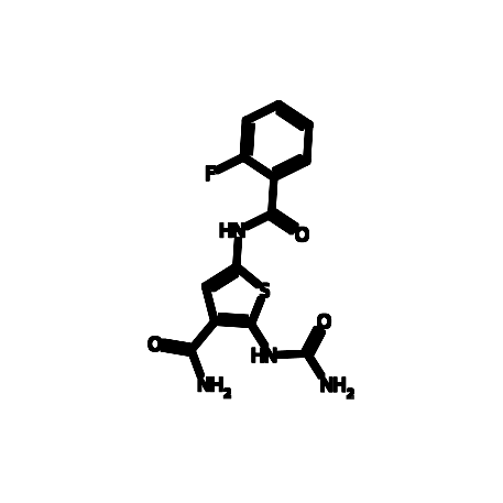 NC(=O)Nc1sc(NC(=O)c2ccccc2F)cc1C(N)=O